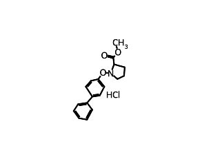 COC(=O)C1CCCN1Oc1ccc(-c2ccccc2)cc1.Cl